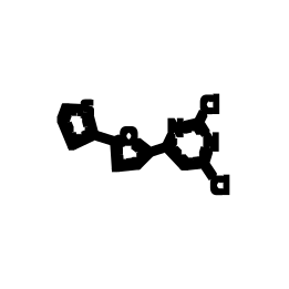 Clc1cc(-c2ccc(-c3cccs3)o2)nc(Cl)n1